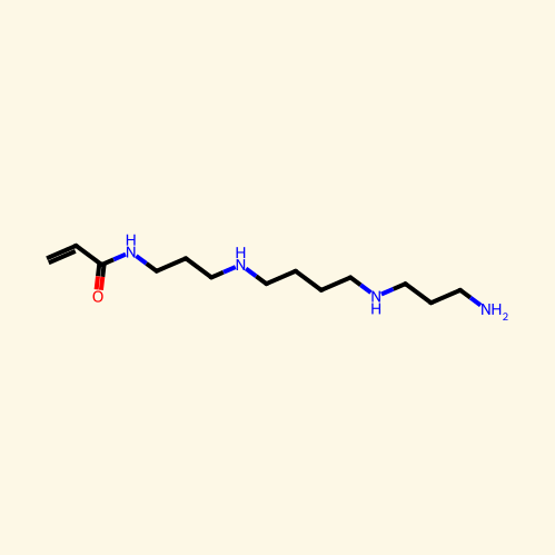 C=CC(=O)NCCCNCCCCNCCCN